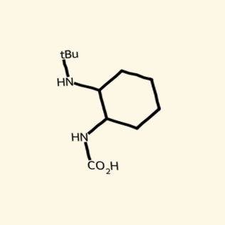 CC(C)(C)NC1CCCCC1NC(=O)O